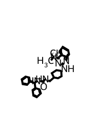 CN(C)c1nc(NC2CCC(CNC(=O)NC(c3ccccc3)c3ccccc3)CC2)nc2ccccc12